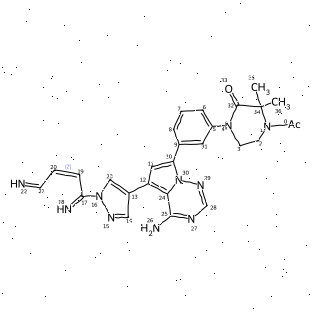 CC(=O)N1CCN(c2cccc(-c3cc(-c4cnn(C(=N)/C=C\C=N)c4)c4c(N)ncnn34)c2)C(=O)C1(C)C